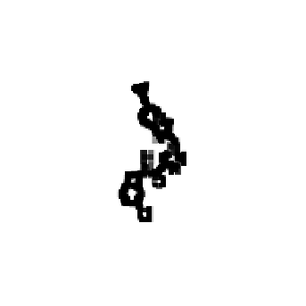 O=C(NC1CC2C=CC(Cl)=CC21)c1cn(Cc2cn3cc(C4CC4)ccc3n2)nn1